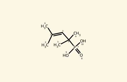 CC(C)=CC(C)(C)P(=O)(O)O